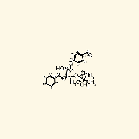 CC(C)(C)[Si](C)(C)OC[C@H](OCc1ccccc1)[C@H](O)COc1ccc(C=O)cc1